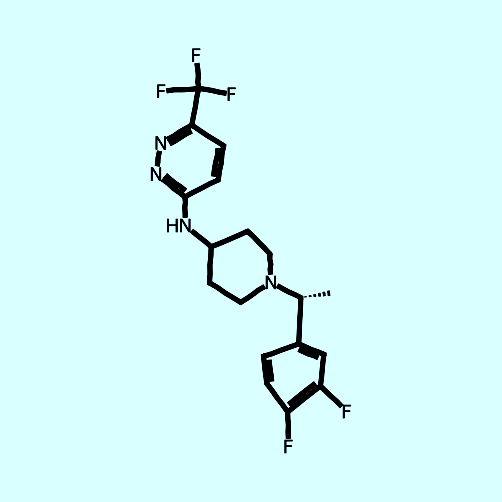 C[C@H](c1ccc(F)c(F)c1)N1CCC(Nc2ccc(C(F)(F)F)nn2)CC1